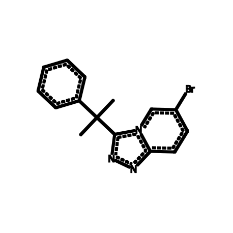 CC(C)(c1ccccc1)c1nnc2ccc(Br)cn12